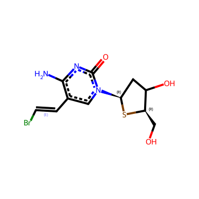 Nc1nc(=O)n([C@H]2CC(O)[C@@H](CO)S2)cc1/C=C/Br